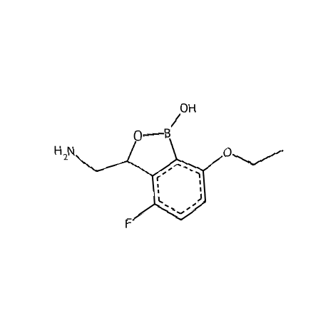 CCOc1ccc(F)c2c1B(O)OC2CN